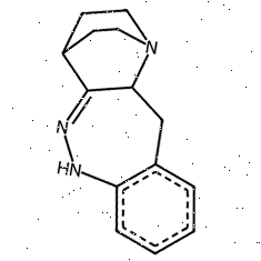 c1ccc2c(c1)CC1C(=NN2)C2CCN1CC2